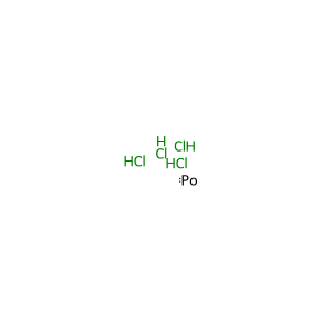 Cl.Cl.Cl.Cl.[Po]